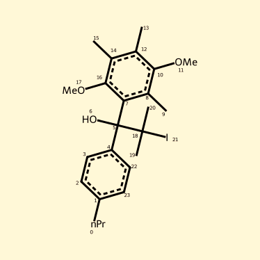 CCCc1ccc(C(O)(c2c(C)c(OC)c(C)c(C)c2OC)C(C)(C)I)cc1